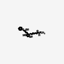 CCNC(=O)CCCC=CC[C@@H]1[C@@H](C=C[C@@H](O)COc2ccccc2)[C@H](O)C[C@@H]1O